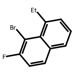 CCc1cccc2ccc(F)c(Br)c12